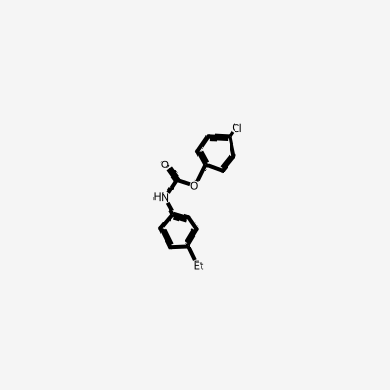 CCc1ccc(NC(=O)Oc2ccc(Cl)cc2)cc1